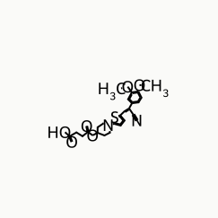 COc1ccc(C(C#N)=Cc2ccc(N3CCC(OC(=O)CCC(=O)O)CC3)s2)cc1OC